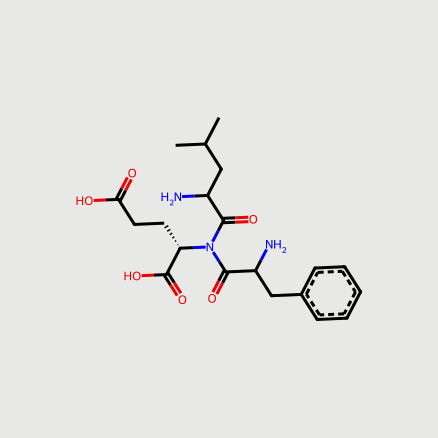 CC(C)CC(N)C(=O)N(C(=O)C(N)Cc1ccccc1)[C@@H](CCC(=O)O)C(=O)O